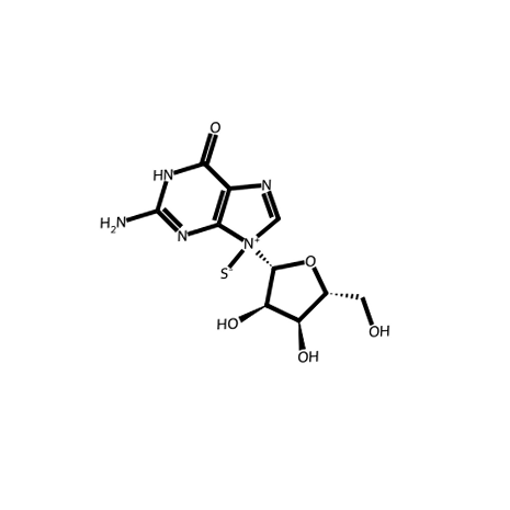 Nc1nc2c(c(=O)[nH]1)N=C[N+]2([S-])[C@@H]1O[C@H](CO)[C@@H](O)[C@H]1O